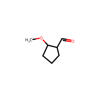 COC1CCCC1[C]=O